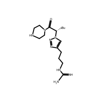 CCC(C)[C@@H](C(=O)N1CCNCC1)n1cc(CCCNC(=N)N)nn1